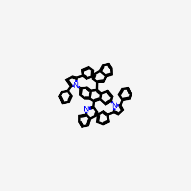 C1=CCC(c2ccc(-c3ccccc3)n2-c2ccc3c(-c4ccc5ccccc5n4)c4cc(-n5c(-c6ccccc6)ccc5-c5ccccc5)ccc4c(-c4ccc5ccccc5c4)c3c2)C=C1